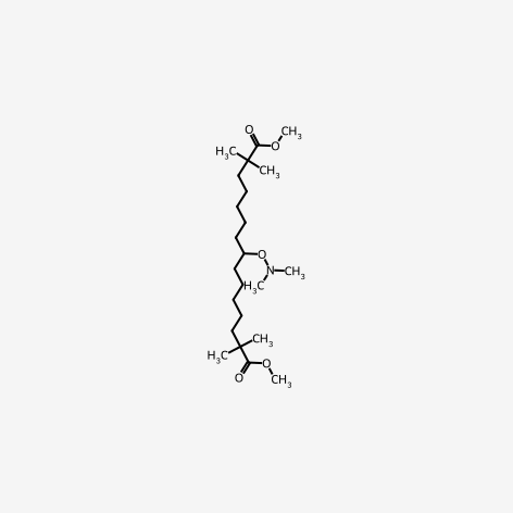 COC(=O)C(C)(C)CCCCCC(CCCCCC(C)(C)C(=O)OC)ON(C)C